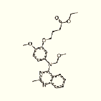 CCOC(=O)CCCOc1cc(N(COC)c2nc(C)nc3ccccc23)ccc1OC